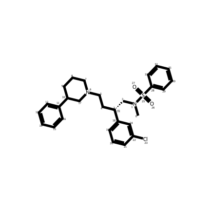 CN(C[C@@H](CCN1CCCC(c2ccccc2)C1)c1cccc(Cl)c1)S(=O)(=O)c1ccccc1